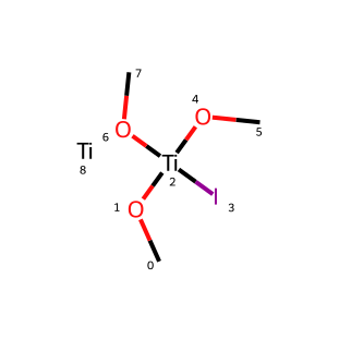 C[O][Ti]([I])([O]C)[O]C.[Ti]